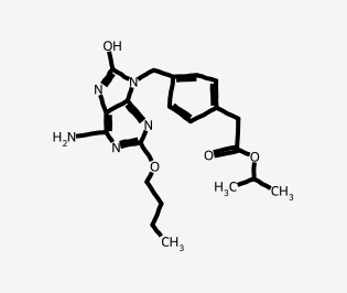 CCCCOc1nc(N)c2nc(O)n(Cc3ccc(CC(=O)OC(C)C)cc3)c2n1